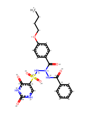 CCCCOc1ccc(C(=O)N(NC(=O)c2ccccc2)NS(=O)(=O)c2c[nH]c(=O)[nH]c2=O)cc1